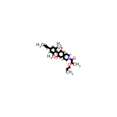 C=CCOC(C)C(=O)N1CCC2(CC1)CC(=O)C(c1c(C)cc(C#CC)cc1C)C(=O)C2